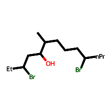 CCCC(Br)CCCC(C)C(O)CC(Br)CC